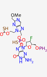 COCc1ncc2nc(COP(=O)(S)O[C@@H]3[C@@H](F)[C@@H](COP)O[C@H]3n3cnc4c(=O)[nH]c(N)nc43)n(CCOC(=O)S)c2n1